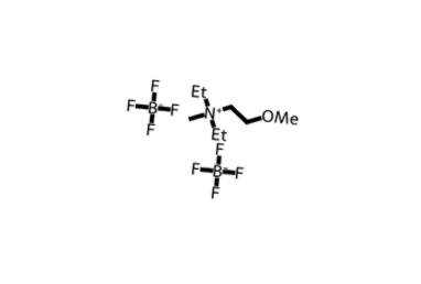 CC[N+](C)(CC)CCOC.F[B-](F)(F)F.F[B-](F)(F)F